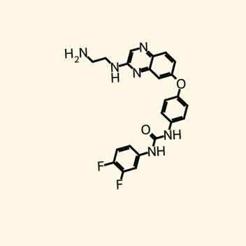 NCCNc1cnc2ccc(Oc3ccc(NC(=O)Nc4ccc(F)c(F)c4)cc3)cc2n1